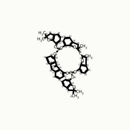 CC1(C)Cc2cccc(OP3Oc4cccc5c4OC(C)(C5)CC4(C)Cc5cccc(c5O4)OP(Oc4cccc5c4OC(C)(C)C5)Oc4cccc5c4C(=O)c4c(cccc4O3)C5)c2O1